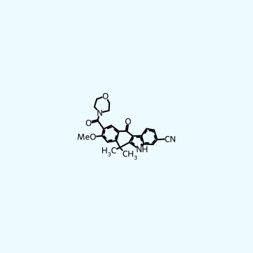 COc1cc2c(cc1C(=O)N1CCOCC1)C(=O)c1c([nH]c3cc(C#N)ccc13)C2(C)C